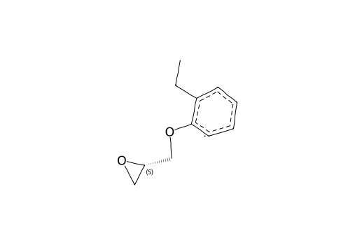 CCc1ccc[c]c1OC[C@@H]1CO1